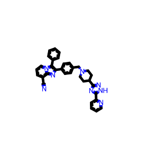 N#Cc1cccn2c(-c3ccccc3)c(-c3ccc(CN4CCC(c5n[nH]c(-c6ccccn6)n5)CC4)cc3)nc12